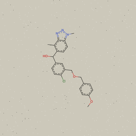 COc1ccc(COCc2cc(C(O)c3ccc4c(nnn4C)c3C)ccc2Cl)cc1